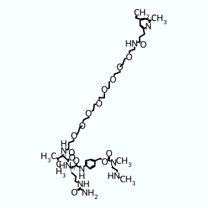 C=Cc1cc(C)nc(CCC(=O)NCCOCCOCCOCCOCCOCCOCCOCCOCCC(=O)N[C@H](C(=O)N[C@@H](CCCNC(N)=O)C(=O)Nc2ccc(COC(=O)N(C)CCNC)cc2)C(C)C)c1